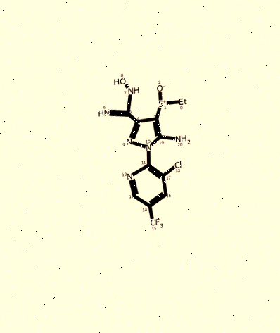 CC[S+]([O-])c1c(C(=N)NO)nn(-c2ncc(C(F)(F)F)cc2Cl)c1N